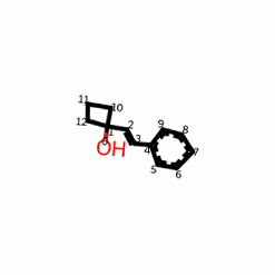 OC1(C=Cc2ccccc2)CCC1